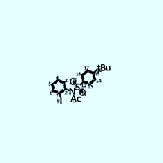 CC(=O)N(c1ccccc1I)S(=O)(=O)c1ccc(C(C)(C)C)cc1